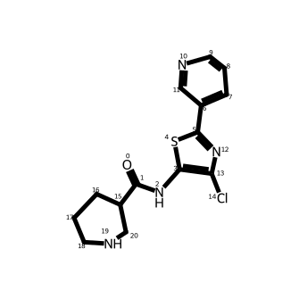 O=C(Nc1sc(-c2cccnc2)nc1Cl)C1CCCNC1